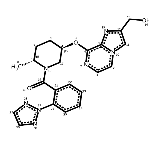 C[C@@H]1CC[C@@H](Oc2nccn3cc(CO)nc23)CN1C(=O)c1ccccc1-n1nccn1